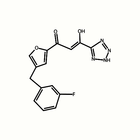 O=C(C=C(O)c1nn[nH]n1)c1cc(Cc2cccc(F)c2)co1